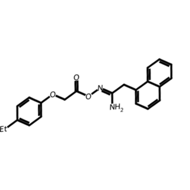 CCc1ccc(OCC(=O)O/N=C(\N)Cc2cccc3ccccc23)cc1